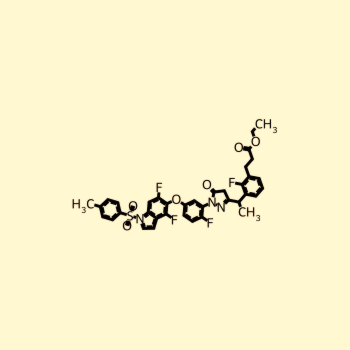 CCOC(=O)CCc1cccc(C(C)C2=NN(c3cc(Oc4c(F)cc5c(ccn5S(=O)(=O)c5ccc(C)cc5)c4F)ccc3F)C(=O)C2)c1F